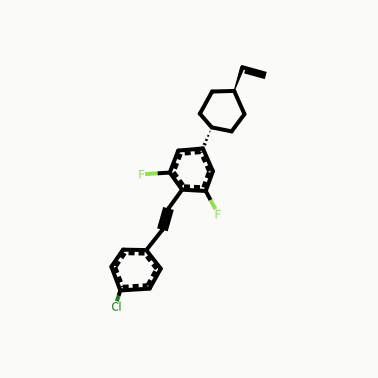 C=C[C@H]1CC[C@H](c2cc(F)c(C#Cc3ccc(Cl)cc3)c(F)c2)CC1